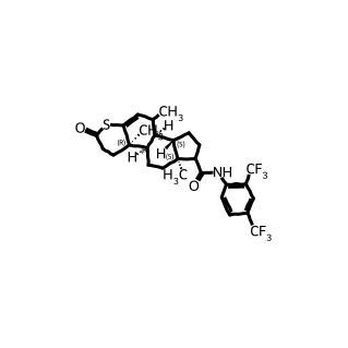 CC1C=C2SC(=O)CC[C@]2(C)[C@@H]2CC[C@]3(C)C(C(=O)Nc4ccc(C(F)(F)F)cc4C(F)(F)F)CC[C@H]3[C@H]12